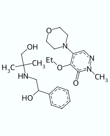 CC(C)(CO)NCC(O)c1ccccc1.CCOc1c(N2CCOCC2)cnn(C)c1=O